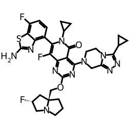 Nc1nc2c(-c3c(F)c4nc(OC[C@@]56CCCN5C[C@H](F)C6)nc(N5CCn6c(nnc6C6CC6)C5)c4c(=O)n3C3CC3)ccc(F)c2s1